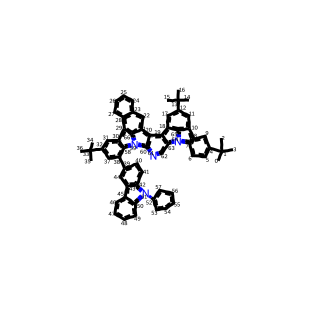 CC(C)(C)c1ccc2c(c1)c1cc(C(C)(C)C)cc3c4c5c6cc7ccccc7c7c8cc(C(C)(C)C)cc(-c9ccc%10c(c9)c9ccccc9n%10-c9ccccc9)c8n(c5ncc4n2c13)c67